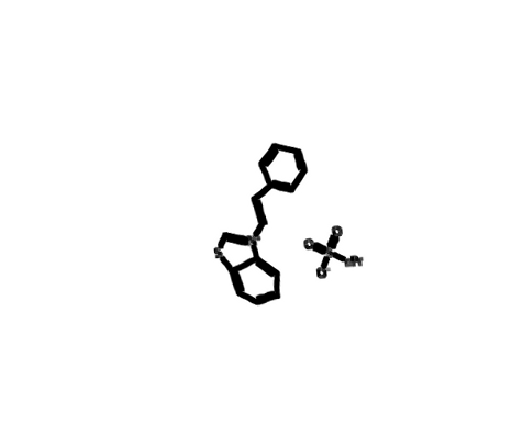 C(=C[n+]1csc2ccccc21)c1ccccc1.CCCS(=O)(=O)[O-]